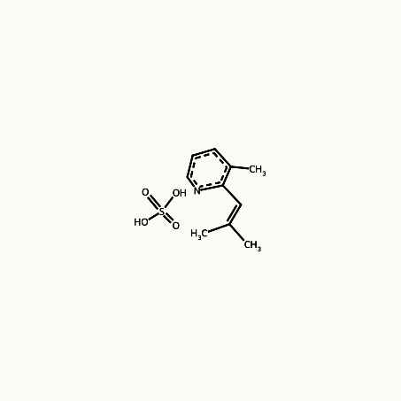 CC(C)=Cc1ncccc1C.O=S(=O)(O)O